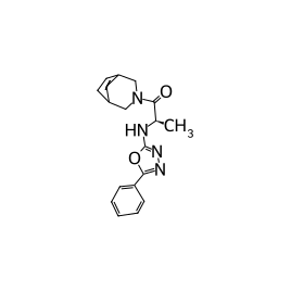 C[C@@H](Nc1nnc(-c2ccccc2)o1)C(=O)N1CC2CCC(C1)C21CC1